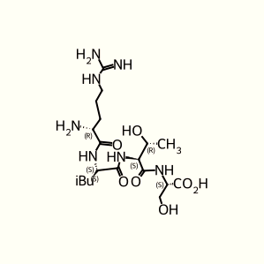 CC[C@H](C)[C@H](NC(=O)[C@H](N)CCCNC(=N)N)C(=O)N[C@H](C(=O)N[C@@H](CO)C(=O)O)[C@@H](C)O